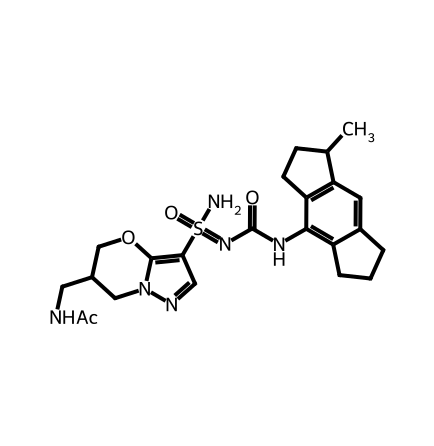 CC(=O)NCC1COc2c(S(N)(=O)=NC(=O)Nc3c4c(cc5c3CCC5C)CCC4)cnn2C1